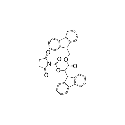 O=C(OCC1c2ccccc2-c2ccccc21)C(OC(=O)N1C(=O)CCC1=O)C1c2ccccc2-c2ccccc21